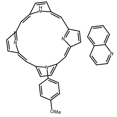 COc1ccc(-n2c3ccc2cc2nc(cc4ccc(cc5nc(c3)C=C5)[nH]4)C=C2)cc1.c1ccc2ncccc2c1